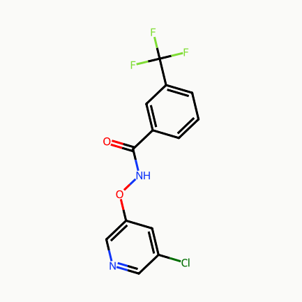 O=C(NOc1cncc(Cl)c1)c1cccc(C(F)(F)F)c1